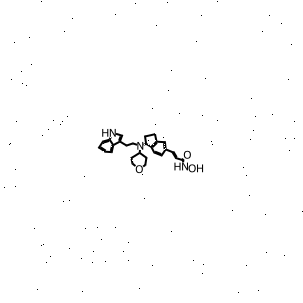 O=C(C=Cc1ccc2c(c1)CCC2N(CCc1c[nH]c2ccccc12)C1CCOCC1)NO